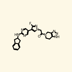 O=C(Cn1cc(-c2cnc(NC3Cc4ccccc4C3)nc2)c(F)n1)N1CCc2[nH]nnc2C1